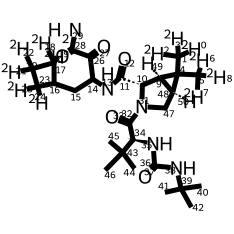 [2H]C([2H])([2H])C1(C([2H])([2H])[2H])[C@@H]2[C@@H](C(=O)NC(CC3C([2H])([2H])C([2H])([2H])C3([2H])[2H])C(=O)C(N)=O)N(C(=O)[C@@H](NC(=O)NC(C)(C)C)C(C)(C)C)C[C@@H]21